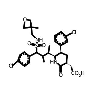 CC(C(C)[C@@H]1NC(=O)[C@@H](CC(=O)O)C[C@@H]1c1cccc(Cl)c1)C(c1ccc(Cl)cc1)S(=O)(=O)NCC1(C)COC1